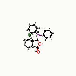 O=C1OC(P(c2ccccc2)c2ccccc2)c2c(Br)cccc21